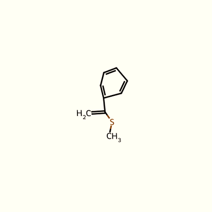 C=C(SC)c1ccccc1